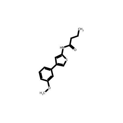 CCCC(=O)Nc1cc(-c2cccc(OC)c2)cs1